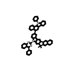 CC1(C)c2cc3ccccc3cc2-c2cc3c4cc(-c5cc6c7ccccc7n(-c7ccccc7)c6c6ccccc56)ccc4n(-c4nc(-c5ccccc5)c5ccccc5n4)c3cc21